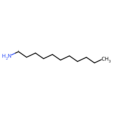 CCCCCCCCCC[CH]N